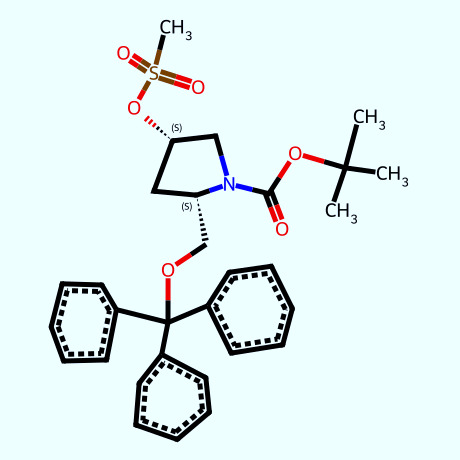 CC(C)(C)OC(=O)N1C[C@@H](OS(C)(=O)=O)C[C@H]1COC(c1ccccc1)(c1ccccc1)c1ccccc1